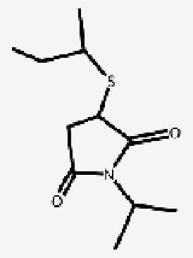 CCC(C)SC1CC(=O)N(C(C)C)C1=O